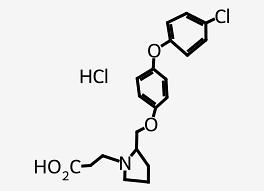 Cl.O=C(O)CCN1CCCC1COc1ccc(Oc2ccc(Cl)cc2)cc1